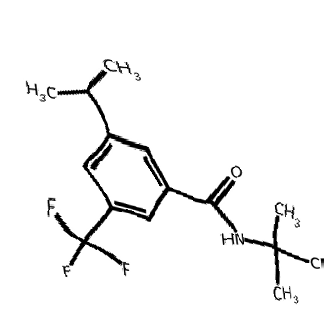 CC(C)c1cc(C(=O)NC(C)(C)C)cc(C(F)(F)F)c1